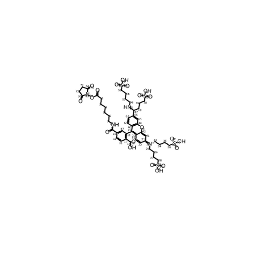 O=C(CCCCCCNC(=O)c1ccc(C(=O)O)c(-c2c3ccc(=[N+](CCCCS(=O)(=O)O)CCCCS(=O)(=O)O)cc-3oc3cc(C(CCCS(=O)(=O)O)NCCCCS(=O)(=O)O)ccc23)c1)ON1C(=O)CCC1=O